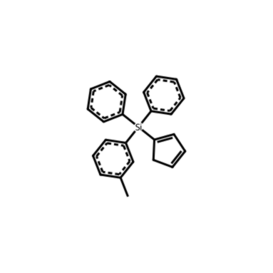 Cc1cccc([Si](C2=CC=CC2)(c2ccccc2)c2ccccc2)c1